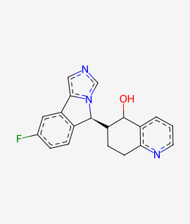 OC1c2cccnc2CCC1[C@H]1c2ccc(F)cc2-c2cncn21